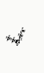 CCn1cc[n+](C)c1.FC(F)F.F[B-](F)(F)F.F[B-](F)(F)F.F[B-](F)(F)F